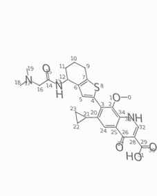 COc1c(-c2cc3c(s2)CCCC3NC(=O)CN(C)C)c(C2CC2)cc2c(=O)c(C(=O)O)c[nH]c12